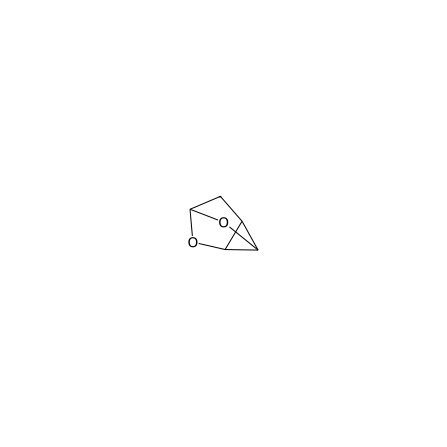 C1C2OC3C1C3O2